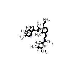 C=C(C)/C=C\c1c(NC(=C)N2C(=C)/C(=C\C=C(/C)C(=C)N[C@H](C)C(C)(F)F)CC[C@@H]2CCN)n[nH]c1C